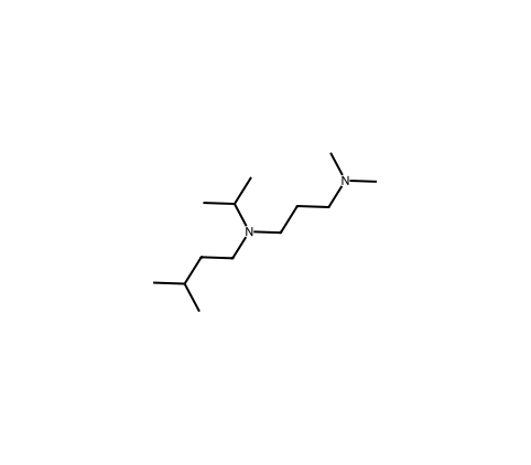 CC(C)CCN(CCCN(C)C)C(C)C